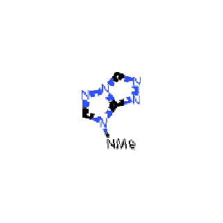 CNn1cnn2cnnc12